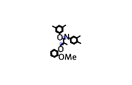 COc1ccccc1O/C=C(C)/C(=N\c1ccc(C)c(C)c1)Oc1cc(C)cc(C)c1